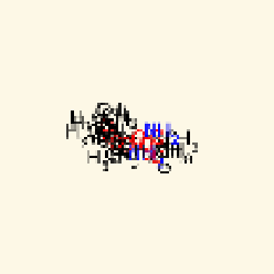 CC[Si](CC)(CC)OC1[C@H](CC(=O)OCc2ccccc2)O[C@]2(C[C@H](N)C3OC([C@H](C[C@H](CO[Si](C)(C)C(C)(C)C)O[Si](C)(C)C(C)(C)C)O[Si](CC)(CC)CC)CC3O2)C[C@@H]1N